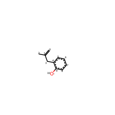 C=C(C)Cc1ccccc1[O]